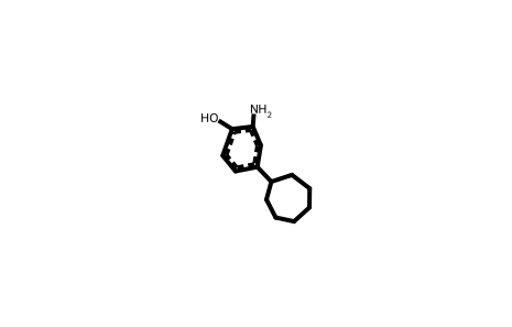 Nc1cc(C2CCCCCC2)ccc1O